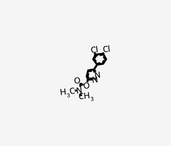 CN(C)C(=O)Oc1ccc(-c2ccc(Cl)c(Cl)c2)nn1